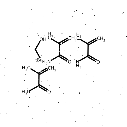 C=C(C)C(N)=O.C=C(C)C(N)=O.C=C(C)C(N)=O.CC(C)(C)CO